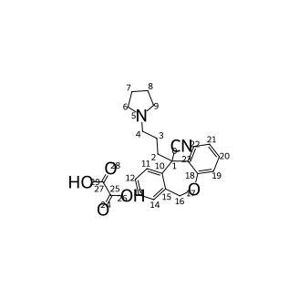 N#CC1(CCCN2CCCC2)c2ccccc2COc2ccccc21.O=C(O)C(=O)O